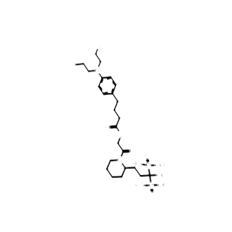 O=C(CCCc1ccc(N(CCCl)CCCl)cc1)OCC(=O)N1CCCCC1CCC(O)(P(=O)(O)O)P(=O)(O)O